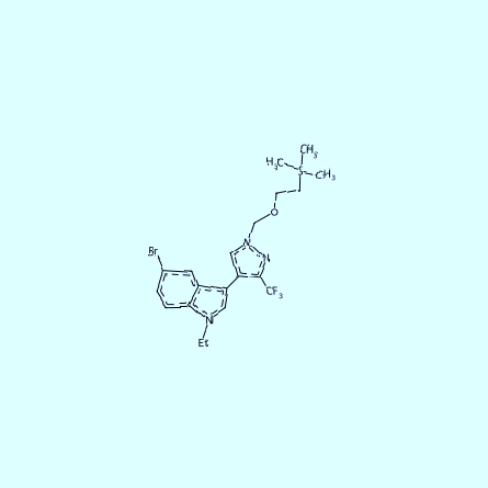 CCn1cc(-c2cn(COCCS(C)(C)C)nc2C(F)(F)F)c2cc(Br)ccc21